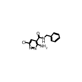 Nc1nnc(Cl)cc1C(=O)NCc1ccccc1